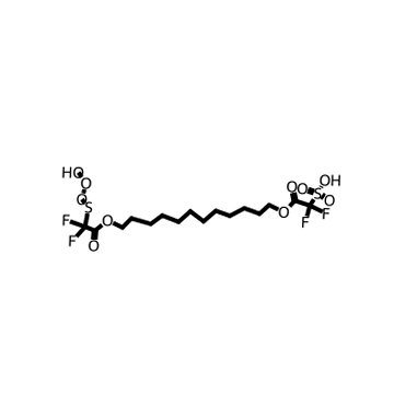 O=C(OCCCCCCCCCCCCOC(=O)C(F)(F)S(=O)(=O)O)C(F)(F)SOOO